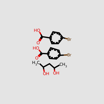 CC(O)CC(C)O.O=C(O)c1ccc(Br)cc1.O=C(O)c1ccc(Br)cc1